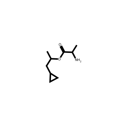 CC(CC1CC1)OC(=O)C(C)N